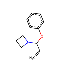 C=CC(Oc1ccccc1)N1CCC1